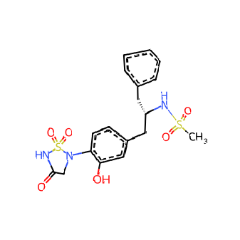 CS(=O)(=O)N[C@@H](Cc1ccccc1)Cc1ccc(N2CC(=O)NS2(=O)=O)c(O)c1